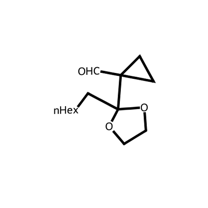 CCCCCCCC1(C2(C=O)CC2)OCCO1